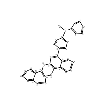 [O-][S+](c1ccccc1)c1ccc(-c2cc3c(c4ccccc24)Oc2ccc4ccccc4c2O3)cc1